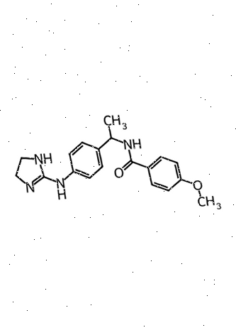 COc1ccc(C(=O)NC(C)c2ccc(NC3=NCCN3)cc2)cc1